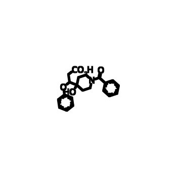 O=C(O)CC(Oc1ccccc1)C1(O)CCN(C(=O)c2ccccc2)CC1